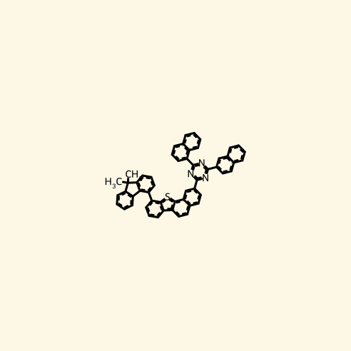 CC1(C)c2ccccc2-c2c(-c3cccc4c3sc3c5cc(-c6nc(-c7ccc8ccccc8c7)nc(-c7cccc8ccccc78)n6)ccc5ccc43)cccc21